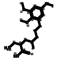 COc1cc(CCCC(C)CC(CN)C(=O)O)c(OC)c(OC)c1